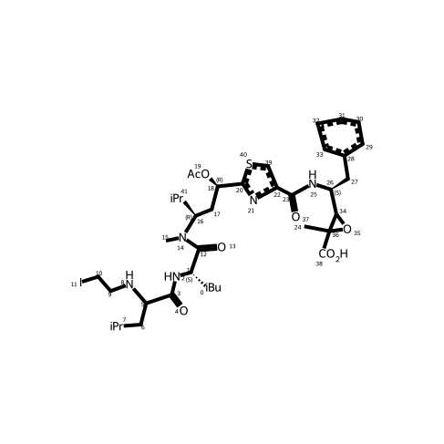 CCC(C)[C@H](NC(=O)C(CC(C)C)NCCI)C(=O)N(C)[C@H](C[C@@H](OC(C)=O)c1nc(C(=O)N[C@@H](Cc2ccccc2)C2OC2(C)C(=O)O)cs1)C(C)C